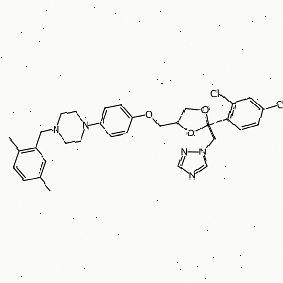 Cc1ccc(C)c(CN2CCN(c3ccc(OCC4COC(Cn5cncn5)(c5ccc(Cl)cc5Cl)O4)cc3)CC2)c1